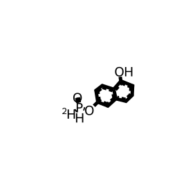 [2H][PH](=O)Oc1ccc2c(O)cccc2c1